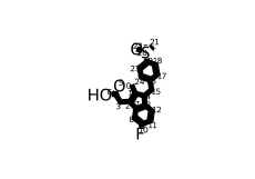 CC1=C(CC(=O)O)c2cc(F)ccc2C1Cc1ccc([S+](C)[O-])cc1